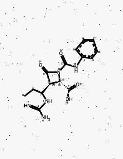 CCC(NC(=N)N)[C@H]1C(=O)N(C(=O)Nc2ccccc2)[C@@H]1C(=O)O